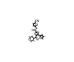 N#Cc1ccc(CNc2nc(-c3ccco3)c(C(=O)C3CCOCC3)s2)o1